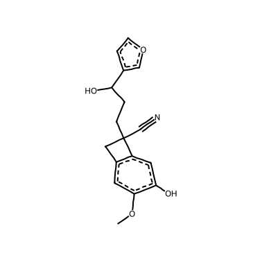 COc1cc2c(cc1O)C(C#N)(CCC(O)c1ccoc1)C2